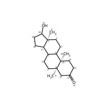 C[C@]12CCC3C(CC[C@]4(C)CC(=O)CC[C@]34C)C1CCC2O